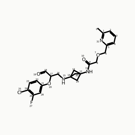 Cc1cccc(COCC(=O)NC23CC(NCC(C=O)Oc4ccc(Cl)c(F)c4)(C2)C3)n1